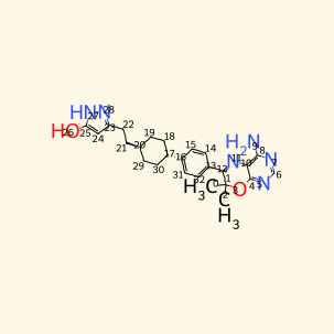 CC1(C)Oc2ncnc(N)c2N=C1c1ccc([C@H]2CC[C@H](CCc3cc(O)[nH]n3)CC2)cc1